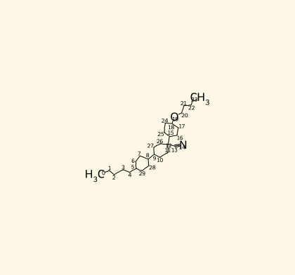 CCCCCC1CCC(C2CCC(C#N)(C3CCC(OCCCC)CC3)CC2)CC1